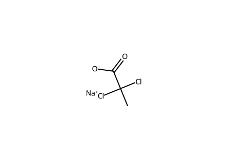 CC(Cl)(Cl)C(=O)[O-].[Na+]